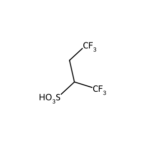 O=S(=O)(O)C(CC(F)(F)F)C(F)(F)F